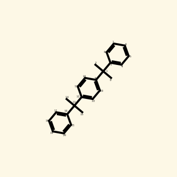 CC(C)(c1ccccc1)c1ccc(C(C)(C)c2ccccc2)cc1